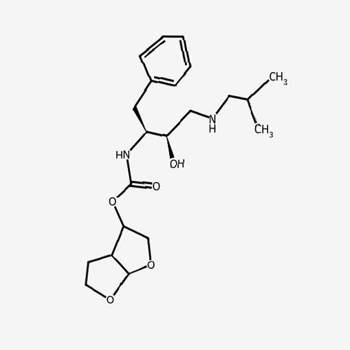 CC(C)CNC[C@@H](O)[C@H](Cc1ccccc1)NC(=O)OC1COC2OCCC12